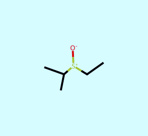 CC[S+]([O-])C(C)C